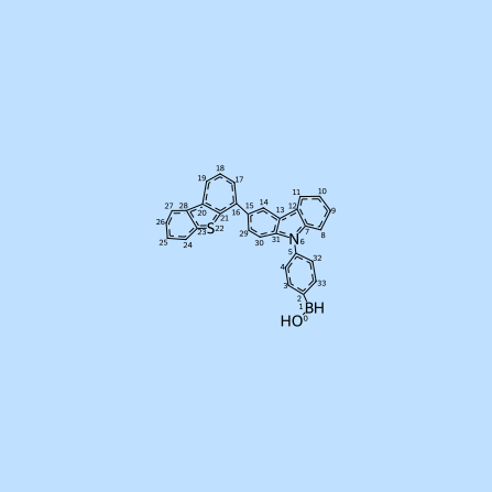 OBc1ccc(-n2c3ccccc3c3cc(-c4cccc5c4sc4ccccc45)ccc32)cc1